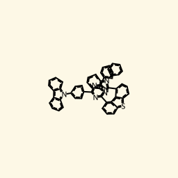 c1ccc(-c2nc(-c3ccc(-n4c5ccccc5c5ccccc54)cc3)nc(-c3cccc4sc5cccc(-c6nc7ccccc7n6-c6ccccc6)c5c34)n2)cc1